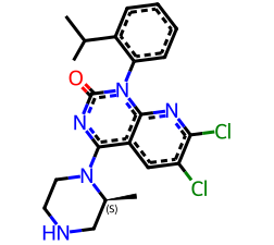 CC(C)c1ccccc1-n1c(=O)nc(N2CCNC[C@@H]2C)c2cc(Cl)c(Cl)nc21